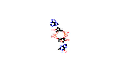 Cc1nc2c(ncn2[C@@H]2O[C@@H]3COP(=O)(O)O[C@@H]4C(O)[C@H](n5cnc6c(N)ncnc65)C[C@@H]4COP(=O)(O)O[C@@H]3C2O)c(=O)[nH]1